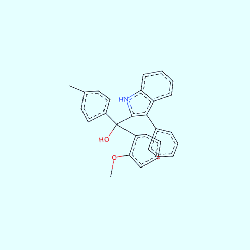 COc1ccccc1C(O)(c1ccc(C)cc1)c1[nH]c2ccccc2c1-c1ccccc1